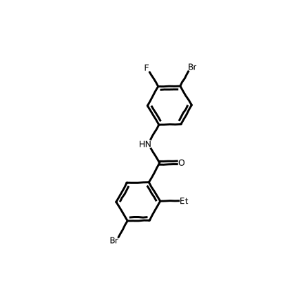 CCc1cc(Br)ccc1C(=O)Nc1ccc(Br)c(F)c1